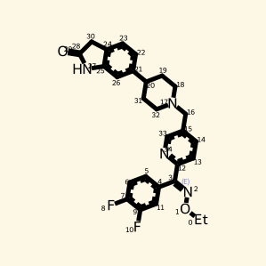 CCO/N=C(\c1ccc(F)c(F)c1)c1ccc(CN2CCC(c3ccc4c(c3)NC(=O)C4)CC2)cn1